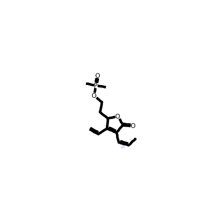 C=CC1=C(/C=C\C)C(=O)OC1CCOP(C)(C)=O